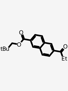 CCC(=O)c1ccc2cc(C(=O)OCC(C)(C)C)ccc2c1